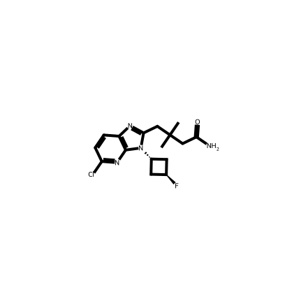 CC(C)(CC(N)=O)Cc1nc2ccc(Cl)nc2n1[C@H]1C[C@H](F)C1